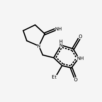 CCc1c(CN2CCCC2=N)[nH]c(=O)[nH]c1=O